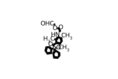 Cc1cc(C)c(C(=O)P(=O)(c2ccccc2)c2ccccc2)c(C)c1NCC(=O)OCC=O